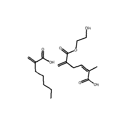 C=C(CC=C(C)C(=O)O)C(=O)OCCO.C=C(CCCCC)C(=O)O